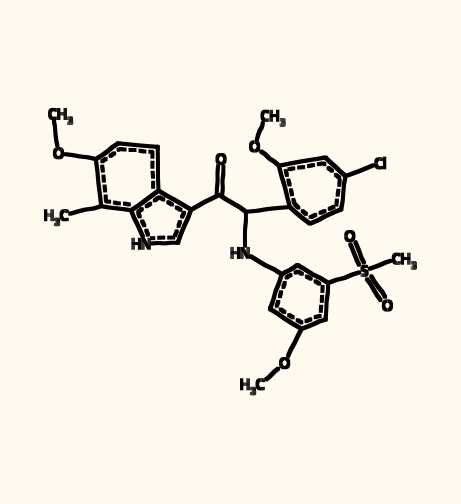 COc1cc(NC(C(=O)c2c[nH]c3c(C)c(OC)ccc23)c2ccc(Cl)cc2OC)cc(S(C)(=O)=O)c1